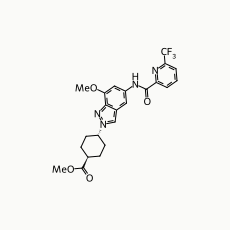 COc1cc(NC(=O)c2cccc(C(F)(F)F)n2)cc2cn([C@H]3CC[C@H](C(=O)OC)CC3)nc12